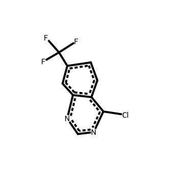 FC(F)(F)c1ccc2c(Cl)ncnc2c1